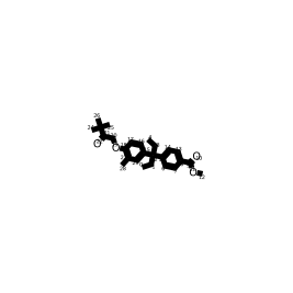 CCC(CC)(c1ccc(C(=O)OC)cc1)c1ccc(OCC(=O)C(C)(C)C)c(C)c1